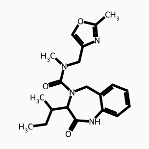 CCC(C)C1C(=O)Nc2ccccc2CN1C(=O)N(C)Cc1coc(C)n1